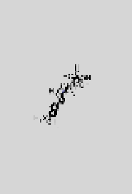 C/C(=C(/C#N)C(=O)NC[C@H]1OC(O)[C@H](O)[C@@H](O)[C@@H]1O)c1ccc(-c2ccc3cc(N(C)C)ccc3c2)s1